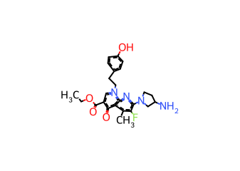 CCOC(=O)c1cn(CCc2ccc(O)cc2)c2nc(N3CCC(N)C3)c(F)c(C)c2c1=O